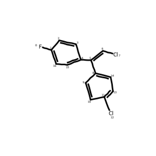 Fc1ccc(C(=CCl)c2ccc(Cl)cc2)cc1